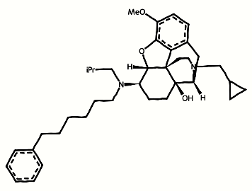 COc1ccc2c3c1O[C@H]1[C@H](N(CCCCCCc4ccccc4)CC(C)C)CC[C@@]4(O)[C@@H](C2)N(CC2CC2)CC[C@]314